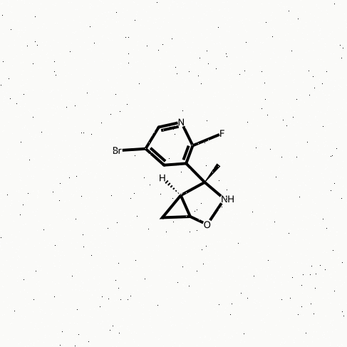 C[C@@]1(c2cc(Br)cnc2F)NOC2C[C@H]21